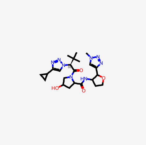 Cn1cc(C2OCCC2NC(=O)C2CC(O)CN2C(=O)[C@@H](n2cc(C3CC3)nn2)C(C)(C)C)nn1